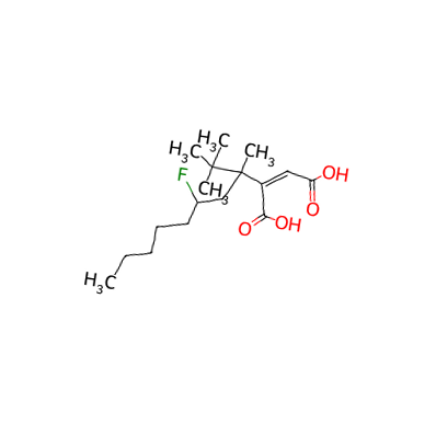 CCCCCC(F)CC(C)(C(=CC(=O)O)C(=O)O)C(C)(C)C